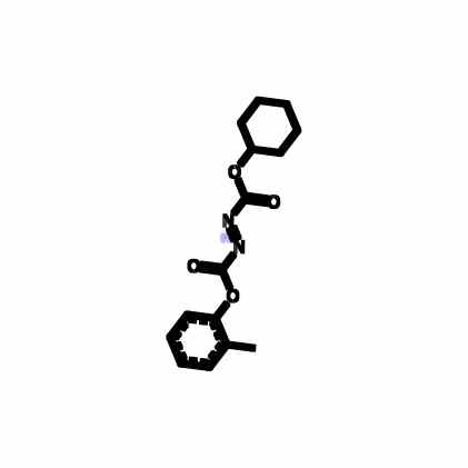 Cc1ccccc1OC(=O)/N=N/C(=O)OC1CCCCC1